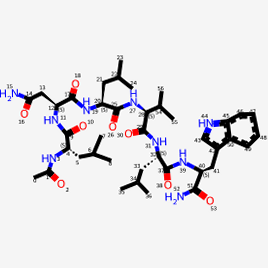 CC(=O)N[C@@H](CC(C)C)C(=O)N[C@@H](CC(N)=O)C(=O)N[C@@H](CC(C)C)C(=O)N[C@H](C(=O)N[C@@H](CC(C)C)C(=O)N[C@@H](Cc1c[nH]c2ccccc12)C(N)=O)C(C)C